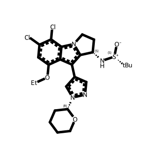 CCOc1cc(Cl)c(Cl)c2c1c(-c1cnn([C@H]3CCCCO3)c1)c1n2CC[C@@H]1N[S@+]([O-])C(C)(C)C